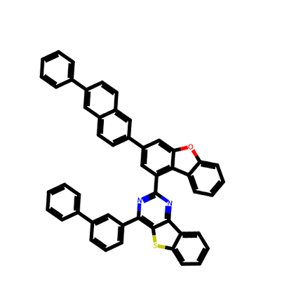 c1ccc(-c2cccc(-c3nc(-c4cc(-c5ccc6cc(-c7ccccc7)ccc6c5)cc5oc6ccccc6c45)nc4c3sc3ccccc34)c2)cc1